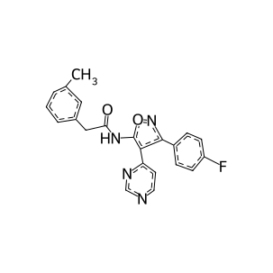 Cc1cccc(CC(=O)Nc2onc(-c3ccc(F)cc3)c2-c2ccncn2)c1